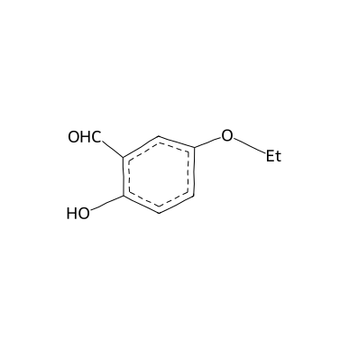 CCOc1ccc(O)c(C=O)c1